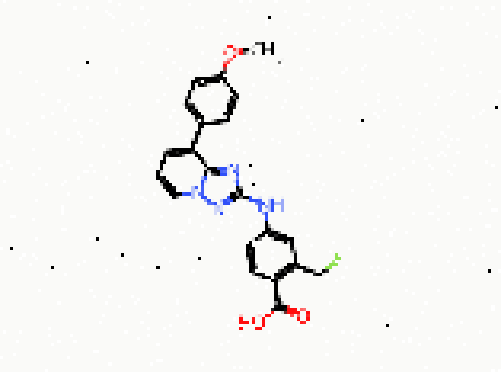 COc1ccc(-c2cccn3nc(Nc4ccc(C(=O)O)c(CF)c4)nc23)cc1